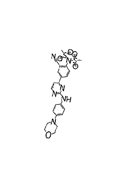 CS(=O)(=O)N(c1ccc(-c2ccnc(Nc3ccc(N4CCOCC4)cc3)n2)cc1C#N)S(C)(=O)=O